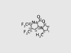 Cc1ccc2oc(=O)c3nc(C(F)(F)F)c(C(F)(F)F)cc3n12